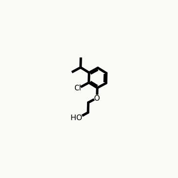 CC(C)c1cccc(OCCO)c1Cl